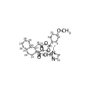 COc1ccc([C@@]2(Cn3ccnc3)OC[C@@H](Cc3c(S(=O)(=O)O)ccc4ccccc34)O2)cc1